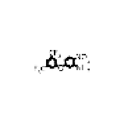 Nc1cc(Oc2cc(C(F)(F)F)cc(C(F)(F)F)c2)ccc1[N+](=O)[O-]